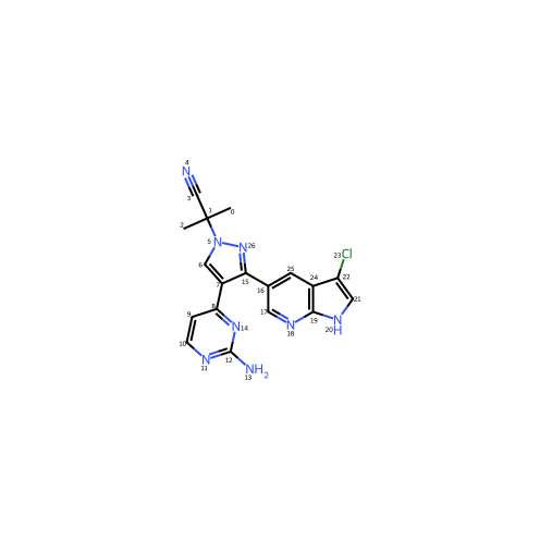 CC(C)(C#N)n1cc(-c2ccnc(N)n2)c(-c2cnc3[nH]cc(Cl)c3c2)n1